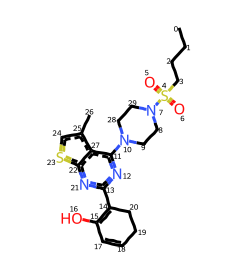 CCCCS(=O)(=O)N1CCN(c2nc(C3=C(O)C=CCC3)nc3scc(C)c23)CC1